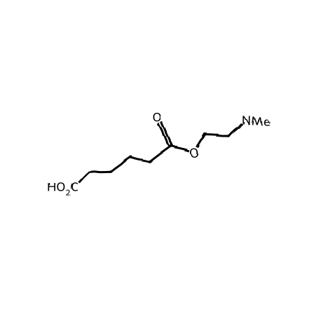 CNCCOC(=O)CCCCC(=O)O